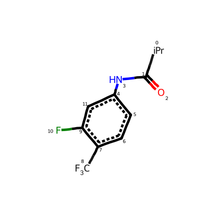 CC(C)C(=O)Nc1ccc(C(F)(F)F)c(F)c1